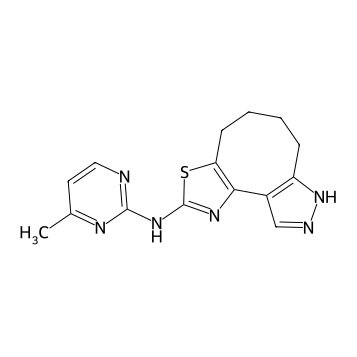 Cc1ccnc(Nc2nc3c(s2)CCCCc2[nH]ncc2-3)n1